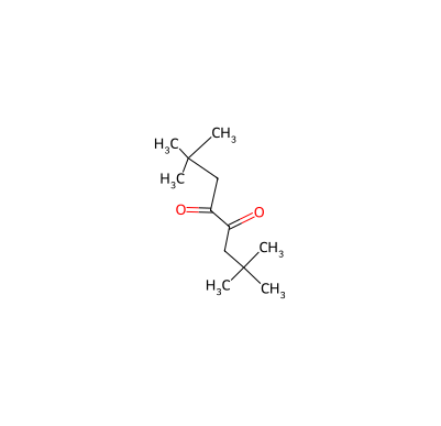 CC(C)(C)CC(=O)C(=O)CC(C)(C)C